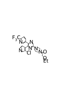 CCOCC(=O)N1CCN(c2cnc(-c3ccc(C(F)(F)F)nc3)c(-c3ccncc3Cl)n2)CC1